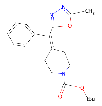 Cc1nnc(C(=C2CCN(C(=O)OC(C)(C)C)CC2)c2ccccc2)o1